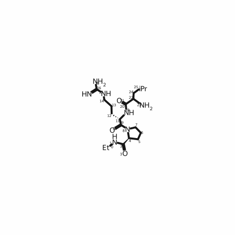 CCNC(=O)[C@@H]1CCCN1C(=O)[C@H](CCCNC(=N)N)NC(=O)C(N)CC(C)C